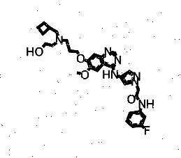 COc1cc2c(Nc3cnn(CC(=O)Nc4cccc(F)c4)c3)ncnc2cc1OCCCN(CCO)CC1CCC1